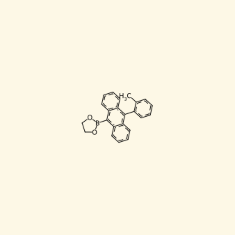 Cc1ccccc1-c1c2ccccc2c(B2OCCO2)c2ccccc12